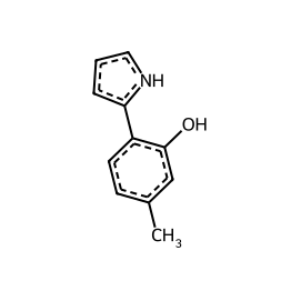 Cc1ccc(-c2ccc[nH]2)c(O)c1